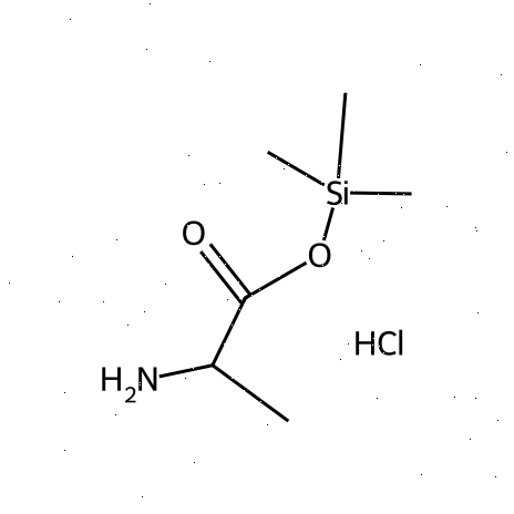 CC(N)C(=O)O[Si](C)(C)C.Cl